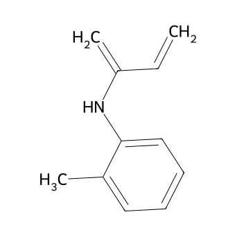 C=CC(=C)Nc1ccccc1C